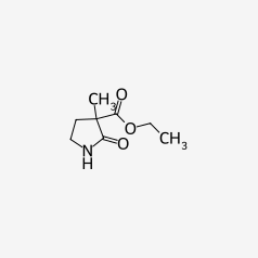 CCOC(=O)C1(C)CCNC1=O